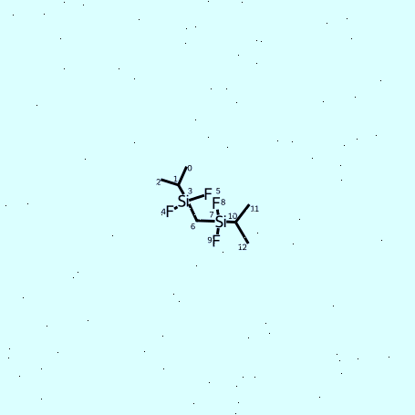 CC(C)[Si](F)(F)C[Si](F)(F)C(C)C